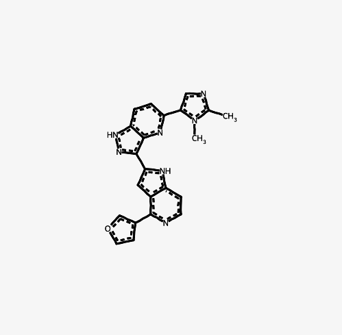 Cc1ncc(-c2ccc3[nH]nc(-c4cc5c(-c6ccoc6)nccc5[nH]4)c3n2)n1C